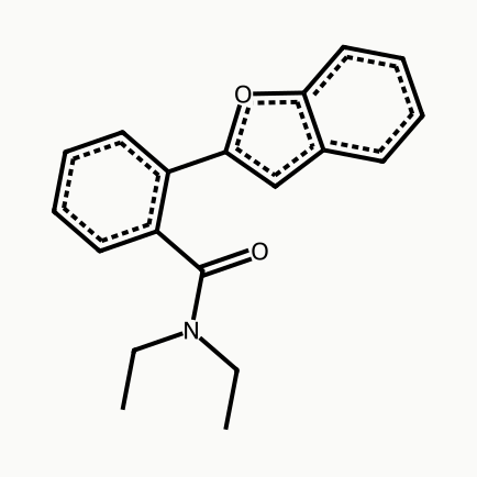 CCN(CC)C(=O)c1ccccc1-c1cc2ccccc2o1